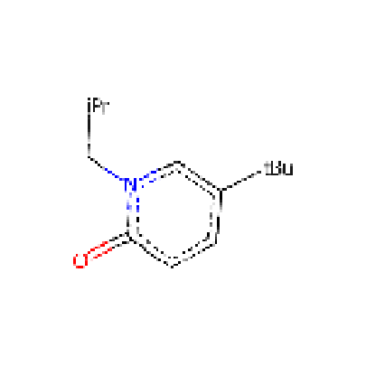 CC(C)Cn1cc(C(C)(C)C)ccc1=O